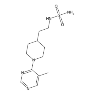 Cc1cncnc1N1CCC(CCNS(N)(=O)=O)CC1